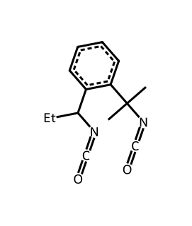 CCC(N=C=O)c1ccccc1C(C)(C)N=C=O